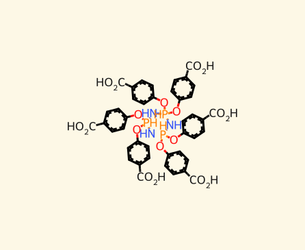 O=C(O)c1ccc(O[PH]2(Oc3ccc(C(=O)O)cc3)N[PH](Oc3ccc(C(=O)O)cc3)(Oc3ccc(C(=O)O)cc3)N[PH](Oc3ccc(C(=O)O)cc3)(Oc3ccc(C(=O)O)cc3)N2)cc1